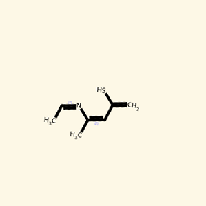 C=C(S)/C=C(C)\N=C/C